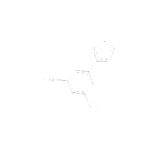 CC(=O)Nc1cc(-c2nccs2)cc([N+](=O)[O-])c1